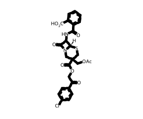 CC(=O)OCC1(C(=O)OCC(=O)c2ccc(Cl)cc2)CS[C@@H]2C(NC(=O)c3ccccc3C(=O)O)C(=O)N2C1